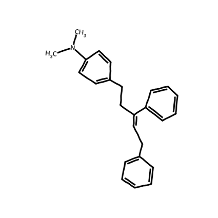 CN(C)c1ccc(CCC(=CCc2ccccc2)c2ccccc2)cc1